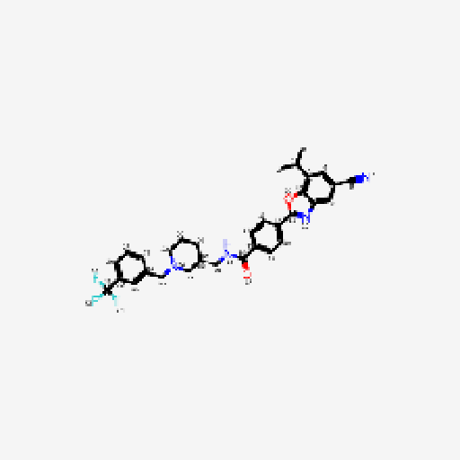 CC(C)c1cc(C#N)cc2nc(-c3ccc(C(=O)NC[C@@H]4CCCN(Cc5cccc(C(F)(F)F)c5)C4)cc3)oc12